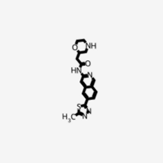 Cc1nnc(-c2ccc3cnc(NC(=O)CC4CNCCO4)cc3c2)s1